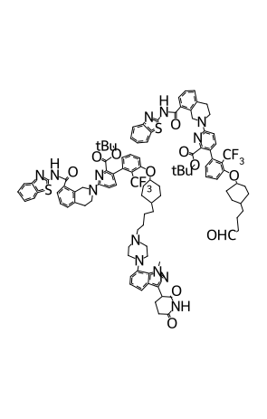 CC(C)(C)OC(=O)c1nc(N2CCc3cccc(C(=O)Nc4nc5ccccc5s4)c3C2)ccc1-c1cccc(OC2CCC(CCCC=O)CC2)c1C(F)(F)F.Cn1nc(C2CCC(=O)NC2=O)c2cccc(N3CCN(CCCCC4CCC(Oc5cccc(-c6ccc(N7CCc8cccc(C(=O)Nc9nc%10ccccc%10s9)c8C7)nc6C(=O)OC(C)(C)C)c5C(F)(F)F)CC4)CC3)c21